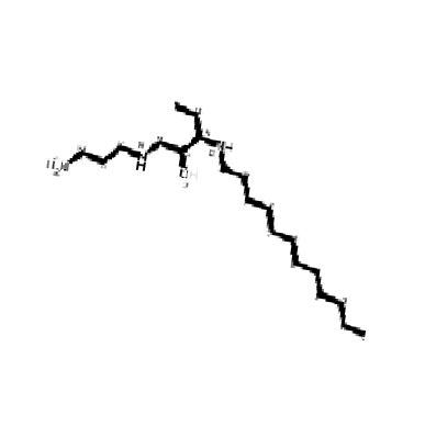 CCCCCCCCCCCCNC(CC)C(O)CNCCCN